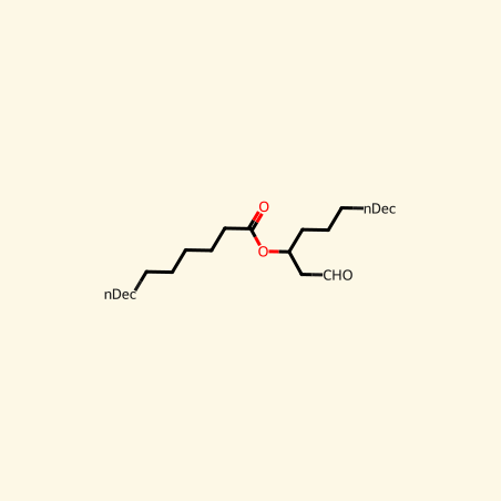 CCCCCCCCCCCCCCCC(=O)OC(CC=O)CCCCCCCCCCCCC